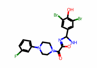 O=C(C1=NC(c2cc(Br)c(O)c(Br)c2)NO1)N1CCN(c2cccc(F)c2)CC1